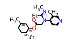 CC/C(=N\C)N(CC(=O)O[C@@H]1C[C@H](C)CC[C@H]1C(C)C)c1ccncc1C